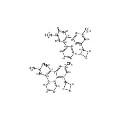 Nc1nnc(-c2cc(N3CCC3)nc(C(F)(F)F)c2)c(-c2ccccc2)n1.Nc1nnc(-c2cc(N3CCC3)nc(C(F)(F)F)c2)c(-c2ccccc2)n1